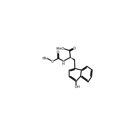 COC(=O)[C@@H](Cc1ccc(O)c2ccccc12)NC(=O)OC(C)(C)C